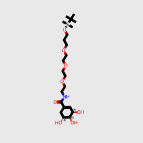 CC(C)(C)[Si](C)(C)OCCCOCCOCCOCCNC(=O)C1=C[C@@H](O)[C@@H](O)[C@H](O)C1